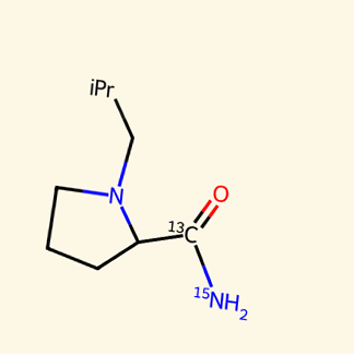 CC(C)CN1CCCC1[13C]([15NH2])=O